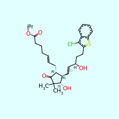 CC(C)OC(=O)CCCC=CC[C@H]1C(=O)C(C)(C)[C@@H](O)[C@@H]1/C=C/[C@H](O)CCc1sc2ccccc2c1Cl